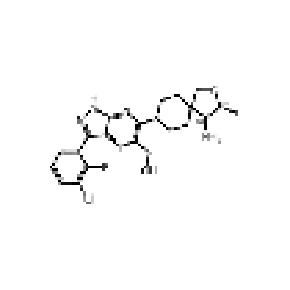 C[C@@H]1OCC2(CCN(c3nc4[nH]nc(-c5cccc(Cl)c5F)c4nc3CO)CC2)[C@@H]1N